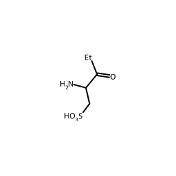 CCC(=O)C(N)CS(=O)(=O)O